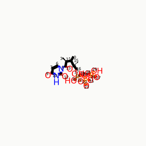 CC1[C@H](C)[C@H](n2ccc(=O)[nH]c2=O)O[C@]1(C)COP(=O)(O)OP(=O)(O)OP(=O)(O)O